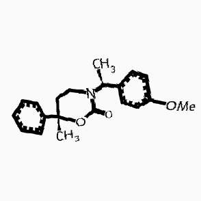 COc1ccc([C@H](C)N2CC[C@@](C)(c3ccccc3)OC2=O)cc1